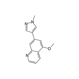 COc1cc(-c2cnn(C)c2)cc2ncccc12